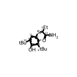 CCC(Sc1cc(C(C)(C)C)c(O)c(C(C)(C)C)c1)C(N)=O